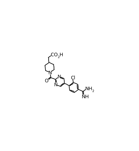 N=C(N)c1ccc(-c2cnc(C(=O)N3CCC(CC(=O)O)CC3)nc2)c(Cl)c1